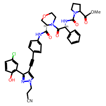 COC(=O)C1CCCN1C(=O)N[C@@H](C(=O)N1CCOC[C@H]1C(=O)Nc1ccc(C#Cc2cn(CCC#N)nc2-c2cc(Cl)ccc2O)cc1)c1ccccc1